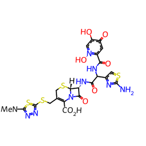 CNc1nnc(SCC2=C(C(=O)O)N3C(=O)[C@@H](NC(=O)C(NC(=O)c4cc(=O)c(O)cn4O)c4csc(N)n4)[C@H]3SC2)s1